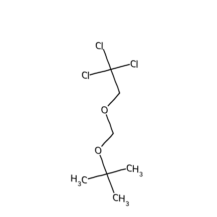 CC(C)(C)OCOCC(Cl)(Cl)Cl